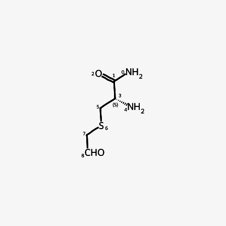 NC(=O)[C@H](N)CSCC=O